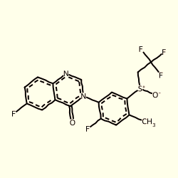 Cc1cc(F)c(-n2cnc3ccc(F)cc3c2=O)cc1[S+]([O-])CC(F)(F)F